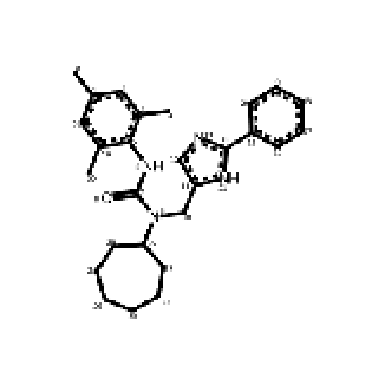 Cc1cc(C)c(NC(=O)N(Cc2cnc(-c3ccccc3)[nH]2)C2CCCCCC2)c(C)c1